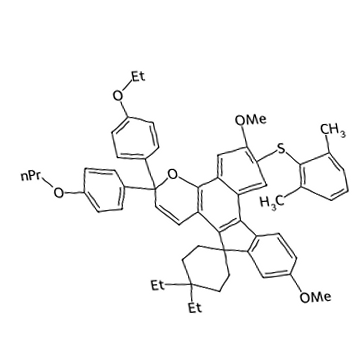 CCCOc1ccc(C2(c3ccc(OCC)cc3)C=Cc3c4c(c5cc(Sc6c(C)cccc6C)c(OC)cc5c3O2)-c2ccc(OC)cc2C42CCC(CC)(CC)CC2)cc1